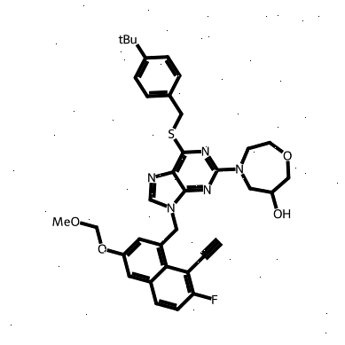 C#Cc1c(F)ccc2cc(OCOC)cc(Cn3cnc4c(SCc5ccc(C(C)(C)C)cc5)nc(N5CCOCC(O)C5)nc43)c12